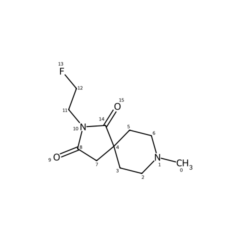 CN1CCC2(CC1)CC(=O)N(CCF)C2=O